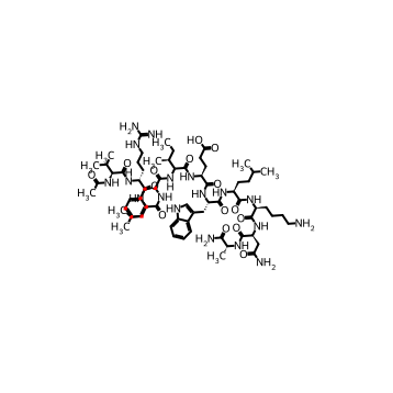 CC[C@H](C)C(NC(=O)[C@H](Cc1ccccc1)NC(=O)[C@H](CC(C)C)NC(=O)[C@@H](CCCNC(=N)N)NC(=O)[C@@H](NC(C)=O)C(C)C)C(=O)N[C@@H](CCC(=O)O)C(=O)N[C@@H](Cc1c[nH]c2ccccc12)C(=O)N[C@@H](CCC(C)C)C(=O)N[C@@H](CCCCN)C(=O)N[C@@H](CC(N)=O)C(=O)N[C@H](C)C(N)=O